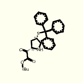 CC(C)(C)OC(=O)C(=O)[C@@H]1C[C@H](SC(c2ccccc2)(c2ccccc2)c2ccccc2)CN1